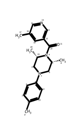 Cc1ccc(N2C[C@@H](C)N(C(=O)c3cncc(C)c3)[C@@H](C)C2)cc1